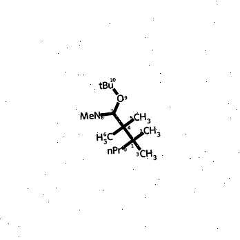 CCCC(C)(C)C(C)(C)C(NC)OC(C)(C)C